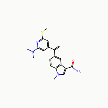 C=C(c1cc(SC)nc(N(C)C)c1)c1ccc2c(c1)c(C(N)=O)cn2C